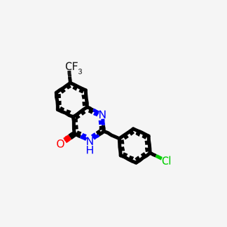 O=c1[nH]c(-c2ccc(Cl)cc2)nc2cc(C(F)(F)F)ccc12